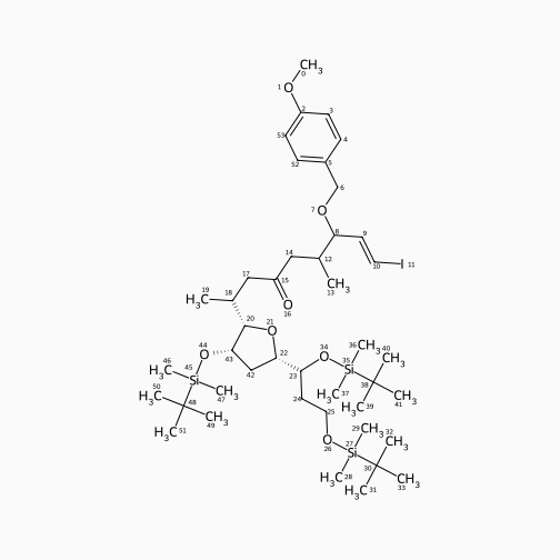 COc1ccc(COC(/C=C/I)C(C)CC(=O)CC(C)[C@@H]2O[C@H](C(CCO[Si](C)(C)C(C)(C)C)O[Si](C)(C)C(C)(C)C)C[C@@H]2O[Si](C)(C)C(C)(C)C)cc1